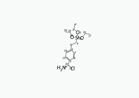 CCO[Si](CCc1ccc(C(N)Cl)cc1)(OCC)OCC